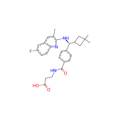 Cc1cc2cc(F)ccc2nc1N[C@H](c1ccc(C(=O)NCCC(=O)O)cc1)C1CC(C)(C)C1